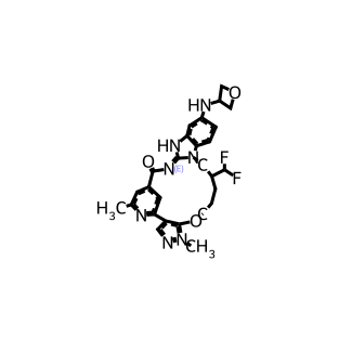 Cc1cc2cc(n1)-c1cnn(C)c1OCCCC(C(F)F)CN1/C(=N/C2=O)Nc2cc(NC3COC3)ccc21